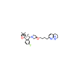 CC1(C)COC(c2ccc(F)cc2C(C(=O)O)N2CC[C@@H](OCCCCc3ccc4c(n3)NCCC4)C2)C1